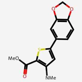 CNc1cc(-c2ccc3c(c2)OCO3)sc1C(=O)OC